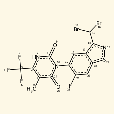 Cc1c(C(F)(F)F)[nH]c(=O)n(-c2cc3c(C(Br)Br)nsc3cc2F)c1=O